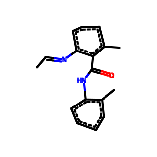 C/C=N/c1cccc(C)c1C(=O)Nc1ccccc1C